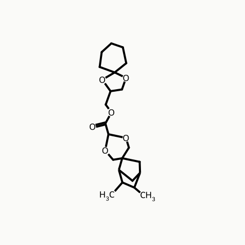 CC1C2CC(C1C)C1(COC(C(=O)OCC3COC4(CCCCC4)O3)OC1)C2